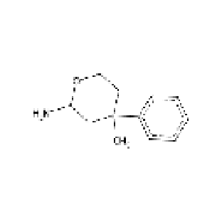 CC1(c2ccccc2)CCOC(N)C1